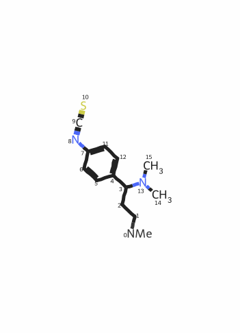 CNCCC(c1ccc(N=C=S)cc1)N(C)C